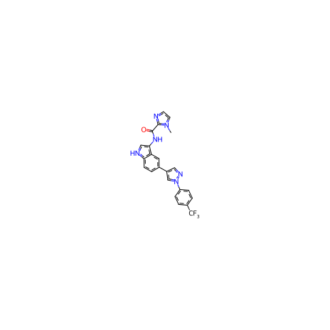 Cn1ccnc1C(=O)Nc1c[nH]c2ccc(-c3cnn(-c4ccc(C(F)(F)F)cc4)c3)cc12